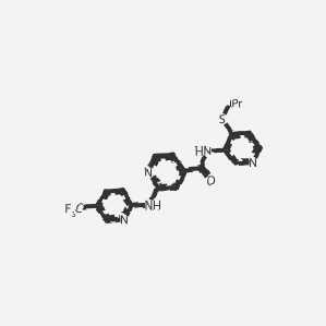 CC(C)Sc1ccncc1NC(=O)c1ccnc(Nc2ccc(C(F)(F)F)cn2)c1